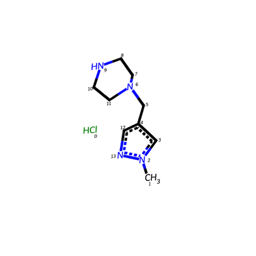 Cl.Cn1cc(CN2CCNCC2)cn1